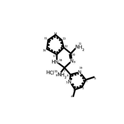 Cc1cc(C)nc(C2(N)N=C(N)c3ccccc3N2)n1.Cl